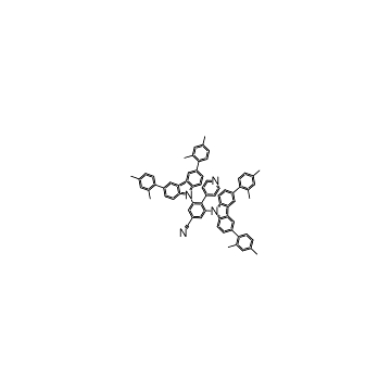 Cc1ccc(-c2ccc3c(c2)c2cc(-c4ccc(C)cc4C)ccc2n3-c2cc(C#N)cc(-n3c4ccc(-c5ccc(C)cc5C)cc4c4cc(-c5ccc(C)cc5C)ccc43)c2-c2ccncc2)c(C)c1